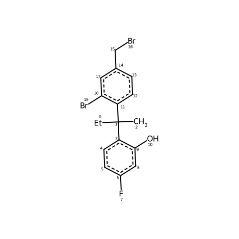 CCC(C)(c1ccc(F)cc1O)c1ccc(CBr)cc1Br